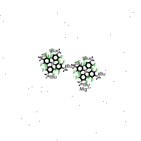 CC(C)(C)[Si](C)(C)c1c(F)c(F)c([B-](c2c(F)c(F)c([Si](C)(C)C(C)(C)C)c(F)c2F)(c2c(F)c(F)c([Si](C)(C)C(C)(C)C)c(F)c2F)c2c(F)c(F)c([Si](C)(C)C(C)(C)C)c(F)c2F)c(F)c1F.CC(C)(C)[Si](C)(C)c1c(F)c(F)c([B-](c2c(F)c(F)c([Si](C)(C)C(C)(C)C)c(F)c2F)(c2c(F)c(F)c([Si](C)(C)C(C)(C)C)c(F)c2F)c2c(F)c(F)c([Si](C)(C)C(C)(C)C)c(F)c2F)c(F)c1F.[Mg+2]